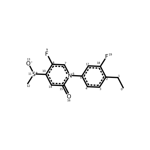 CCc1ccc(-n2cc(F)c([S+](C)[O-])cc2=O)cc1F